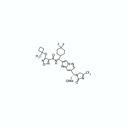 COC[C@H](c1cnn2cc([C@@H](NC(=O)c3nonc3OC3(C)CCC3)C3CCC(F)(F)CC3)nc2c1)N1CC(C(F)(F)F)=NC1=O